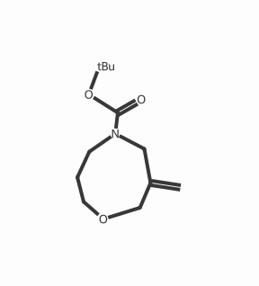 C=C1COCCCN(C(=O)OC(C)(C)C)C1